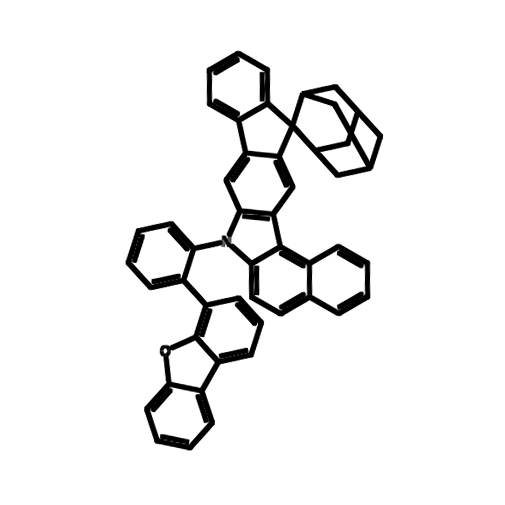 c1ccc(-n2c3cc4c(cc3c3c5ccccc5ccc32)C2(c3ccccc3-4)C3CC4CC(C3)CC2C4)c(-c2cccc3c2oc2ccccc23)c1